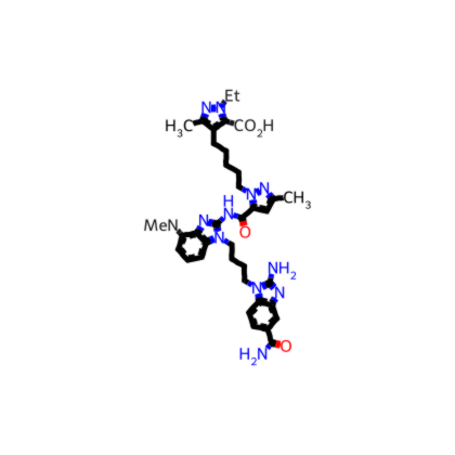 CCn1nc(C)c(CCCCCn2nc(C)cc2C(=O)Nc2nc3c(NC)cccc3n2CCCCn2c(N)nc3cc(C(N)=O)ccc32)c1C(=O)O